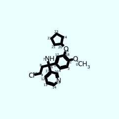 COc1ccc(C(N)(CCCl)c2cccnc2)cc1OC1CCCC1